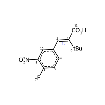 CC(C)(C)/C(=C\c1ccc(F)c([N+](=O)[O-])c1)C(=O)O